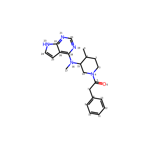 CC1CCN(C(=O)Cc2ccccc2)CC1N(C)c1ncnc2[nH]ccc12